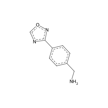 NCc1ccc(-c2ncon2)cc1